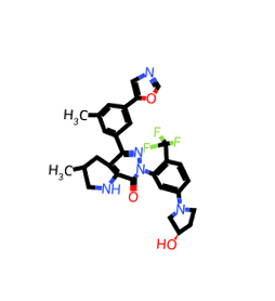 Cc1cc(-c2cnco2)cc(-c2nn(-c3cc(N4CC[C@H](O)C4)ccc3C(F)(F)F)c(=O)c3c2CC(C)CN3)c1